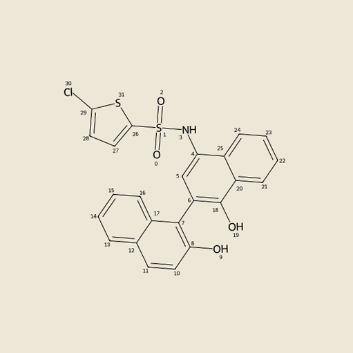 O=S(=O)(Nc1cc(-c2c(O)ccc3ccccc23)c(O)c2ccccc12)c1ccc(Cl)s1